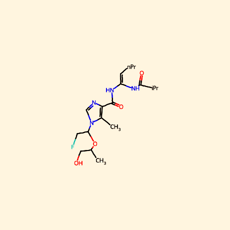 CCC/C=C(/NC(=O)c1ncn(C(CF)OC(C)CO)c1C)NC(=O)C(C)C